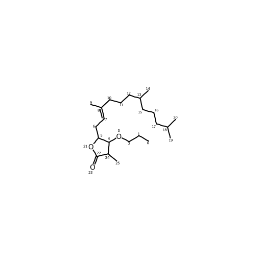 CCCOC1C(C/C=C(\C)CCCC(C)CCCC(C)C)OC(=O)C1C